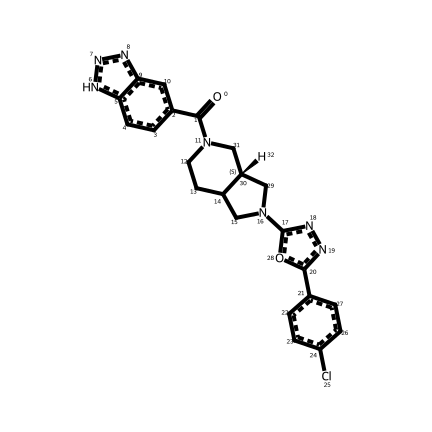 O=C(c1ccc2[nH]nnc2c1)N1CCC2CN(c3nnc(-c4ccc(Cl)cc4)o3)C[C@H]2C1